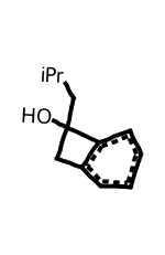 CC(C)CC1(O)Cc2ccccc21